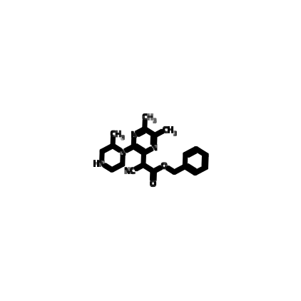 Cc1nc(C(C#N)C(=O)OCc2ccccc2)c(N2CCNCC2C)nc1C